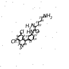 CN1Cc2c(Cl)cc(Cl)cc2C(c2cccc(NC(=O)[C@@H](N)CCCCN)c2)C1